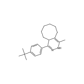 CC1=C2CCCCCCC2C(c2ccc(C(C)(C)C)cc2)=NN1